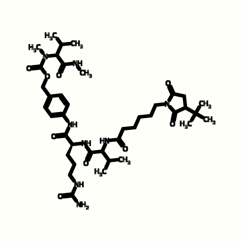 CNC(=O)C(C(C)C)N(C)C(=O)OCc1ccc(NC(=O)[C@H](CCCNC(N)=O)NC(=O)C(NC(=O)CCCCCN2C(=O)CC(C(C)(C)C)C2=O)C(C)C)cc1